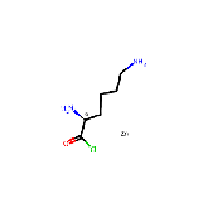 NCCCC[C@H](N)C(=O)Cl.[Zn]